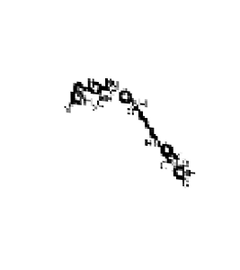 CNc1cc(-c2ccc3cc(C#N)cnn23)ncc1-c1nnc([C@H]2CC[C@H](NC(=O)CCCCCCCNc3ccc4c(c3)C(=O)N(C3CCC(=O)NC3=O)C4=O)CC2)s1